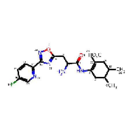 CC1CC(NC(=O)C(N)Cc2nc(-c3ccc(F)cn3)no2)=C(C(=O)O)CC1C